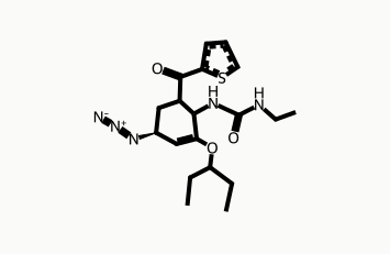 CCNC(=O)NC1C(OC(CC)CC)=C[C@@H](N=[N+]=[N-])CC1C(=O)c1cccs1